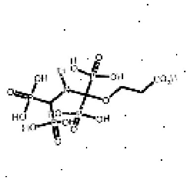 CCN(C(P(=O)(O)O)P(=O)(O)O)C(OCCC(=O)O)(P(=O)(O)O)P(=O)(O)O